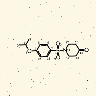 CC(C)Oc1ccc(S(=O)(=O)N2CCC(=O)CC2)cc1